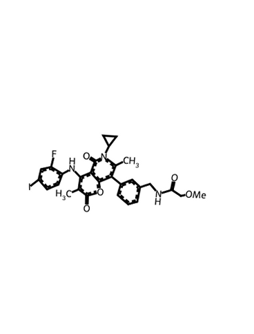 COCC(=O)NCc1cccc(-c2c(C)n(C3CC3)c(=O)c3c(Nc4ccc(I)cc4F)c(C)c(=O)oc23)c1